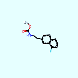 CC(C)(C)OC(=O)NCCc1ccc2cccc(F)c2c1